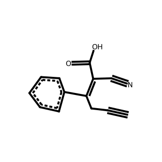 C#CCC(=C(C#N)C(=O)O)c1ccccc1